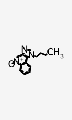 CCCCn1cnc2c[n+]([O-])c3ccccc3c21